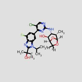 [2H]C1([2H])O[C@H]2O[C@@H]1[C@@H](O)[C@H](Nc1ncc(Cl)c(-c3cc(F)c4nc(C(C)(C)O)n(C(C)C)c4c3)n1)[C@@H]2C